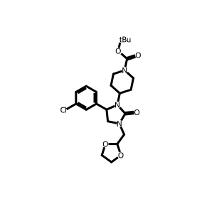 CC(C)(C)OC(=O)N1CCC(N2C(=O)N(CC3OCCO3)CC2c2cccc(Cl)c2)CC1